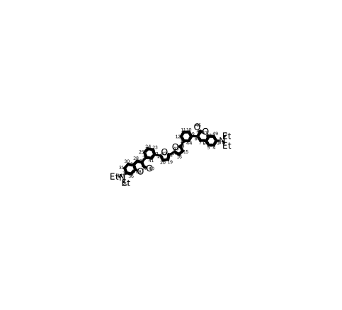 CCN(CC)c1ccc2cc(-c3cccc(-c4ccc(-c5ccc(-c6cccc(-c7cc8ccc(N(CC)CC)cc8oc7=O)c6)o5)o4)c3)c(=O)oc2c1